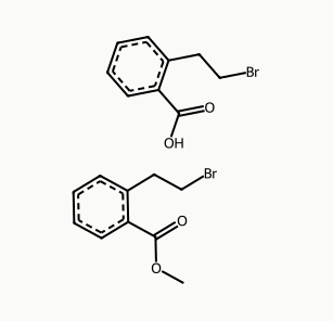 COC(=O)c1ccccc1CCBr.O=C(O)c1ccccc1CCBr